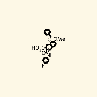 COc1ccc2c(c1OCc1ccccc1)CC(C(=O)O)N(C(=O)Nc1ccc(F)cc1)C2